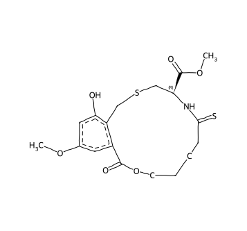 COC(=O)[C@@H]1CSCc2c(O)cc(OC)cc2C(=O)OCCCCC(=S)N1